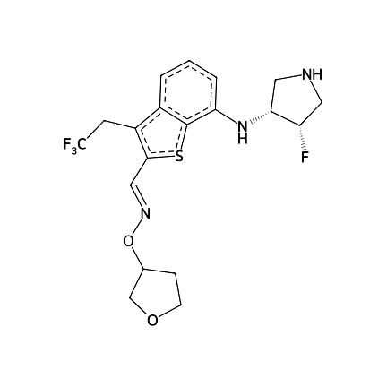 F[C@H]1CNC[C@H]1Nc1cccc2c(CC(F)(F)F)c(/C=N/OC3CCOC3)sc12